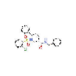 O=C(NCc1ccccc1)C1CCC(c2ccccc2)N(S(=O)(=O)c2ccccc2Cl)C1